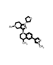 CC(=O)N1CCc2c(c(N3CCC(C)c4cc(-c5cnn(C)c5)ccc43)nn2[C@@H]2CCOC2)C1